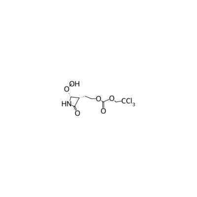 O=C(OCC[C@@H]1C(=O)N[C@@H]1OO)OCC(Cl)(Cl)Cl